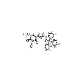 Cc1cn([C@H]2CC[C@@H](COC(c3ccccc3)(c3ccccc3)c3ccccc3)O2)c(=O)n(C#N)c1=O